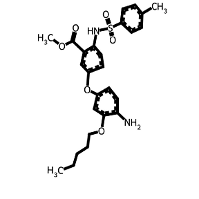 CCCCCOc1cc(Oc2ccc(NS(=O)(=O)c3ccc(C)cc3)c(C(=O)OC)c2)ccc1N